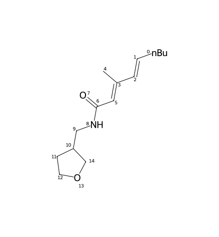 CCCC/C=C/C(C)=C/C(=O)NCC1CCOC1